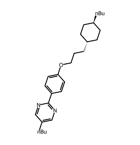 CCCCc1cnc(-c2ccc(OCCC[C@H]3CC[C@H](CCCC)CC3)cc2)nc1